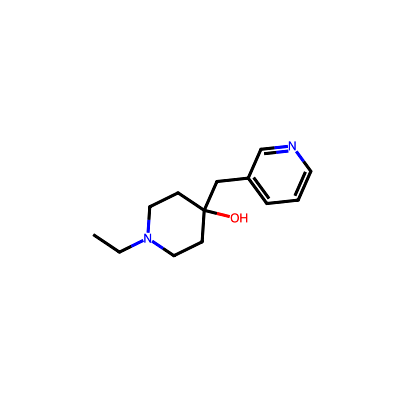 CCN1CCC(O)(Cc2cccnc2)CC1